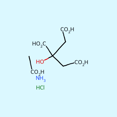 CC(=O)O.Cl.N.O=C(O)CC(O)(CC(=O)O)C(=O)O